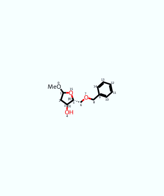 COC1C[C@H](O)[C@@H](COCc2ccccc2)O1